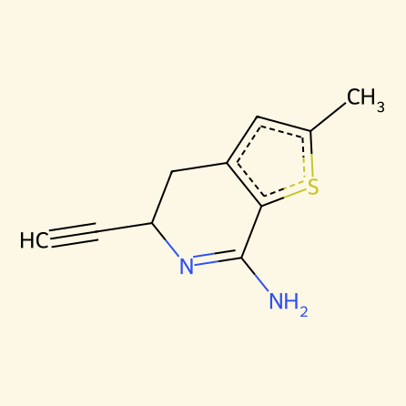 C#CC1Cc2cc(C)sc2C(N)=N1